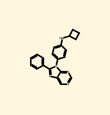 c1ccc(-c2nc3cncnc3n2-c2ccc(NC3CCC3)cc2)cc1